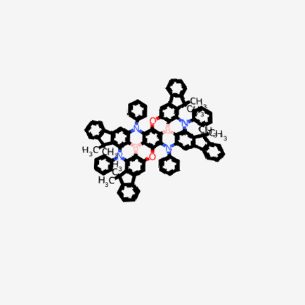 CC1(C)c2ccccc2-c2cc3c4c(c21)N(c1ccccc1)c1c2c(cc5c1C(C)(C)c1ccccc1-5)N(c1ccccc1)c1c5c6c(c(c1B42)O3)N(c1ccccc1)c1cc2c(c3c1B6c1c(cc4c(c1N3c1ccccc1)C(C)(C)c1ccccc1-4)O5)C(C)(C)c1ccccc1-2